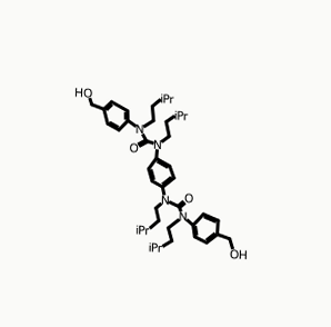 CC(C)CCN(C(=O)N(CCC(C)C)c1ccc(N(CCC(C)C)C(=O)N(CCC(C)C)c2ccc(CO)cc2)cc1)c1ccc(CO)cc1